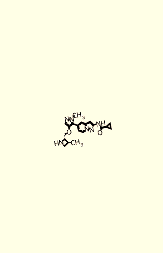 C[C@H]1CN[C@@H]1COc1cnn(C)c1-c1ccn2nc(NC(=O)C3CC3)cc2c1